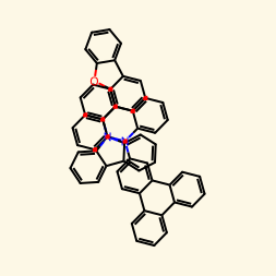 c1ccc(N(c2ccc3c4ccccc4c4ccccc4c3c2)c2ccccc2-c2cccc3c2oc2ccccc23)c(-c2ccccc2-n2c3ccccc3c3ccccc32)c1